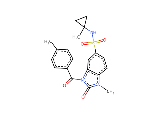 Cc1ccc(C(=O)n2c(=O)n(C)c3ccc(S(=O)(=O)NC4(C)CC4)cc32)cc1